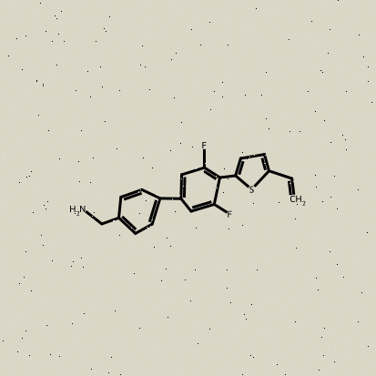 C=Cc1ccc(-c2c(F)cc(-c3ccc(CN)cc3)cc2F)s1